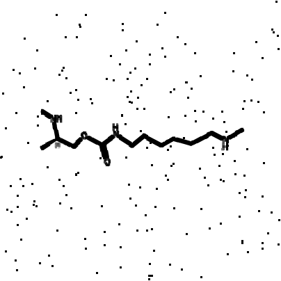 CNCCCCCCNC(=O)OC[C@@H](C)NC